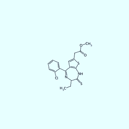 CCC1N=C(c2ccccc2Cl)c2cc(CC(=O)OC)sc2NC1=S